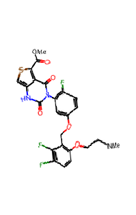 CNCCOc1ccc(F)c(F)c1COc1ccc(F)c(-n2c(=O)[nH]c3csc(C(=O)OC)c3c2=O)c1